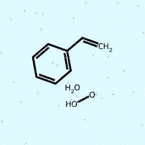 C=Cc1ccccc1.O.[O]O